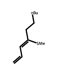 C=C/C=C(/CCCCCC)SC